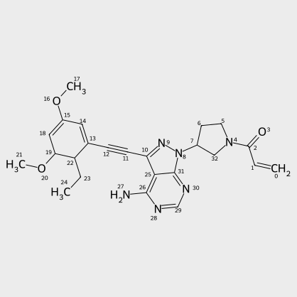 C=CC(=O)N1CCC(n2nc(C#CC3=CC(OC)=CC(OC)C3CC)c3c(N)ncnc32)C1